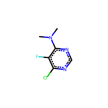 CN(C)c1ncnc(Cl)c1F